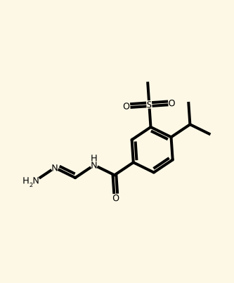 CC(C)c1ccc(C(=O)NC=NN)cc1S(C)(=O)=O